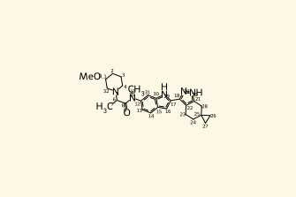 CO[C@@H]1CCCN(C(C)C(=O)N(C)c2ccc3cc(-c4n[nH]c5c4CCC4(CC4)C5)[nH]c3c2)C1